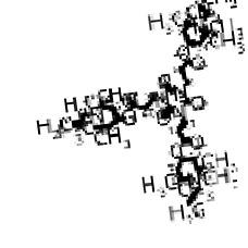 C=CCN1C(C)(C)CC(OC(=O)CCn2c(=O)n(CCC(=O)OC3CC(C)(C)N(CC=C)C(C)(C)C3)c(=O)n(CCC(=O)OC3CC(C)(C)N(CC=C)C(C)(C)C3)c2=O)CC1(C)C